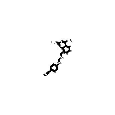 C#Cc1ccc(NCOCc2cccc3c(C)nc(C)nc23)cc1